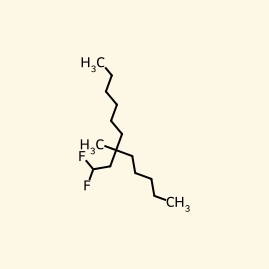 CCCCCCC(C)(CCCCC)CC(F)F